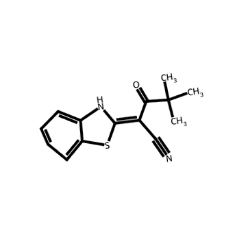 CC(C)(C)C(=O)/C(C#N)=C1\Nc2ccccc2S1